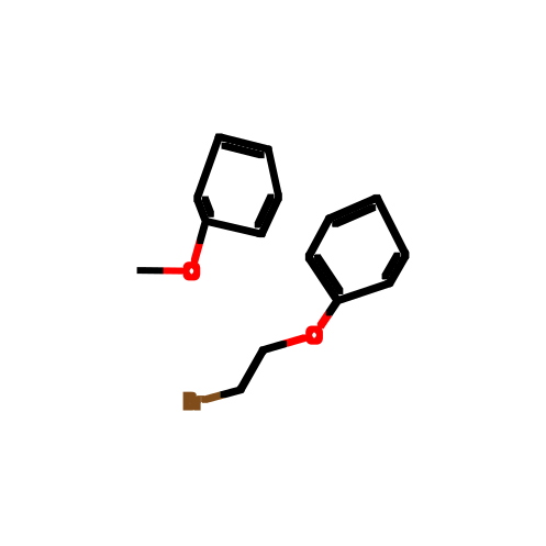 BrCCOc1ccccc1.COc1ccccc1